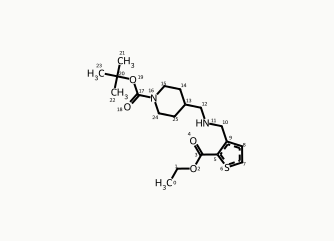 CCOC(=O)c1sccc1CNCC1CCN(C(=O)OC(C)(C)C)CC1